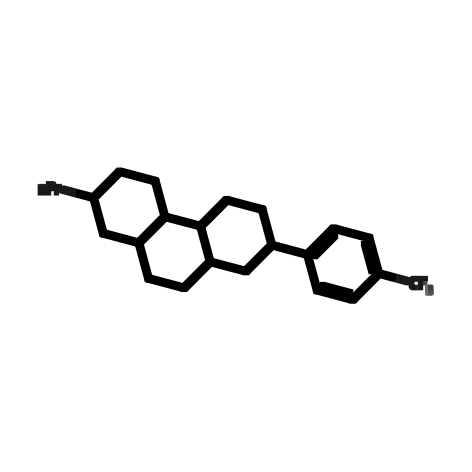 CCCC1CCC2C(CCC3CC(c4ccc(C(F)(F)F)cc4)CCC32)C1